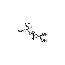 COc1cc([N+](=O)[O-])ccc1CCOC(=O)Nc1ccc(N(CCO)CCO)cc1